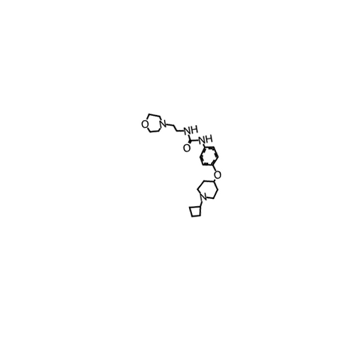 O=C(NCCN1CCOCC1)Nc1ccc(OC2CCN(C3CCC3)CC2)cc1